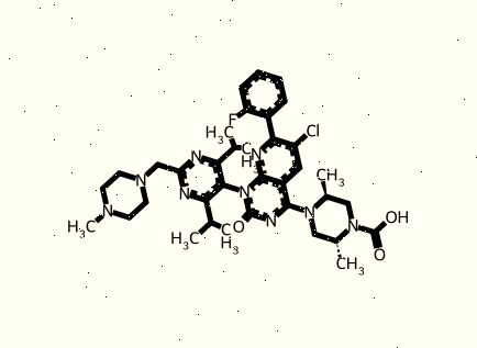 CC(C)c1nc(CN2CCN(C)CC2)nc(C(C)C)c1-n1c(=O)nc(N2C[C@@H](C)N(C(=O)O)C[C@@H]2C)c2cc(Cl)c(-c3ccccc3F)nc21